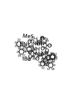 CSCC[C@H](NC(=O)[C@H](CC(=O)NC(c1ccccc1)(c1ccccc1)c1ccccc1)NC(=O)[C@@H](NC(=O)[C@@H](N)CSC(c1ccccc1)(c1ccccc1)c1ccccc1)[C@@H](C)OC(C)(C)C)C(=O)N[C@@H](CC(C)C)C(=O)C(=O)OCC1c2ccccc2-c2ccccc21